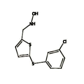 ONCc1ccc(Sc2cccc(Cl)c2)s1